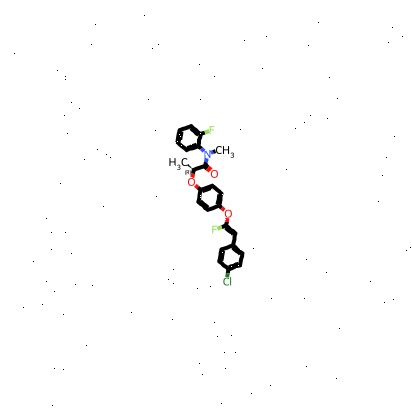 C[C@@H](Oc1ccc(OC(F)=Cc2ccc(Cl)cc2)cc1)C(=O)N(C)c1ccccc1F